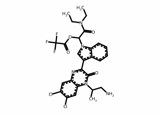 CCN(CC)C(=O)C(OC(=O)C(F)(F)F)n1cc(-c2nc3cc(Cl)c(Cl)cc3n(C(C)CN)c2=O)c2ccccc21